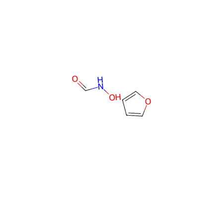 O=CNO.c1ccoc1